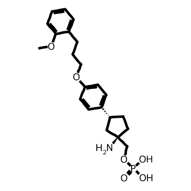 COc1ccccc1CCCOc1ccc([C@@H]2CC[C@](N)(COP(=O)(O)O)C2)cc1